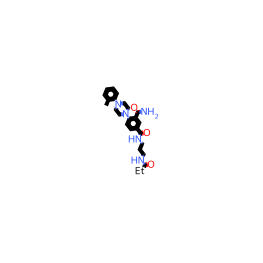 CCC(=O)NCCCNC(=O)c1ccc(N2CCN(c3ccccc3C)CC2)c(C(N)=O)c1